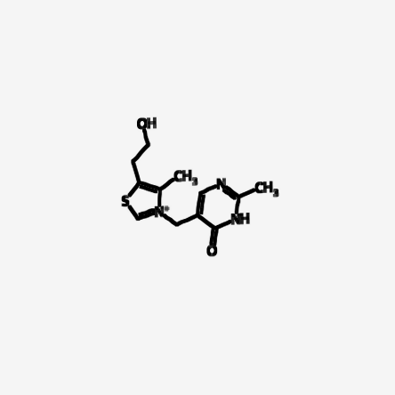 Cc1ncc(C[n+]2csc(CCO)c2C)c(=O)[nH]1